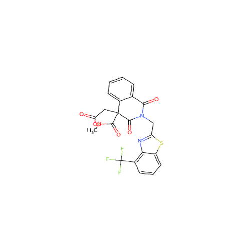 COC(=O)C1(CC(=O)O)C(=O)N(Cc2nc3c(C(F)(F)F)cccc3s2)C(=O)c2ccccc21